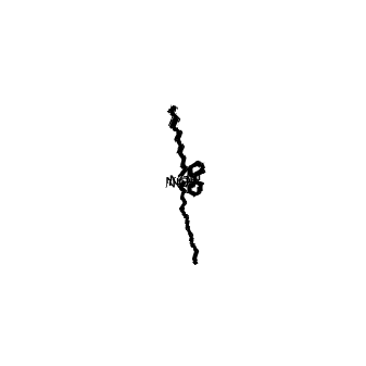 CCCCCCCCCCCCOCCCCCCCCCCCC.[NaH].[NaH].c1ccc(-c2ccccc2)cc1